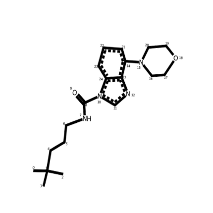 CC(C)(C)CCCNC(=O)n1cnc2c(N3CCOCC3)cccc21